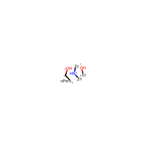 CCCCCCO.CCNCC.CCO